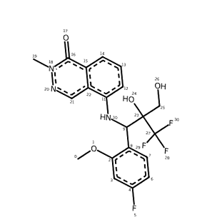 COc1cc(F)ccc1C(Nc1cccc2c(=O)n(C)ncc12)C(O)(CO)C(F)(F)F